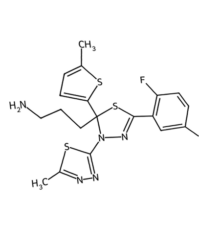 Cc1ccc(C2(CCCN)SC(c3cc(F)ccc3F)=NN2c2nnc(C)s2)s1